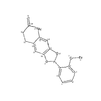 CCOc1ccccc1C1Oc2cc3c(cc2O1)NC(=O)CC3